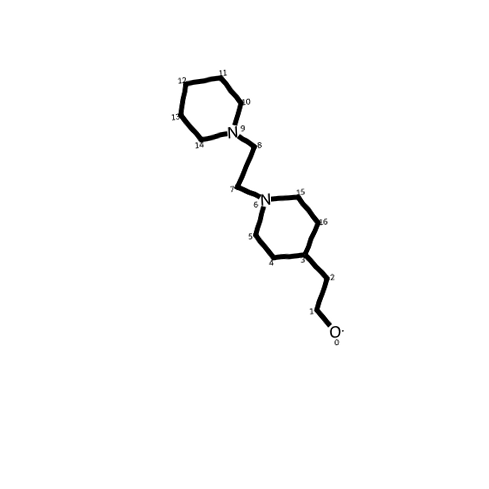 [O]CCC1CCN(CCN2CCCCC2)CC1